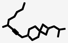 CCCCCC(C)C#CCN1CCC2(CC1)CN(CC(C)C)C2